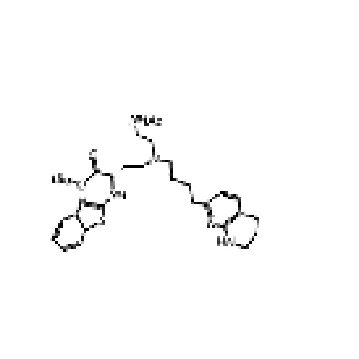 CC(=O)NCCN(CCCCc1ccc2c(n1)NCCC2)CC[C@H](NC1=NC2C=CC=CC2S1)C(=O)OC(C)(C)C